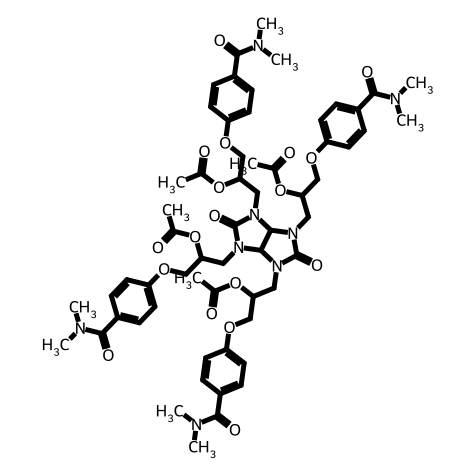 CC(=O)OC(COc1ccc(C(=O)N(C)C)cc1)CN1C(=O)N(CC(COc2ccc(C(=O)N(C)C)cc2)OC(C)=O)C2C1N(CC(COc1ccc(C(=O)N(C)C)cc1)OC(C)=O)C(=O)N2CC(COc1ccc(C(=O)N(C)C)cc1)OC(C)=O